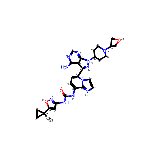 Nc1ncnc2c1c(-c1ccc(NC(=O)Nc3cc(C4(C(F)(F)F)CC4)on3)c3nccn13)nn2C1CCN(C2COC2)CC1